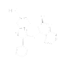 Cc1ccn2c(Sc3cc(=O)oc4ccccc34)c(-c3ccccc3)nc2c1